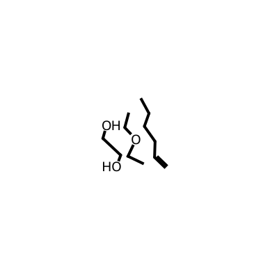 C=CCCCC.CCOCC.OCCO